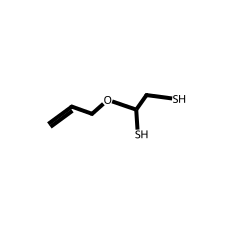 C=CCOC(S)CS